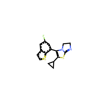 Fc1cc(C2=C(C3CC3)SC3=NCCN32)c2sccc2c1